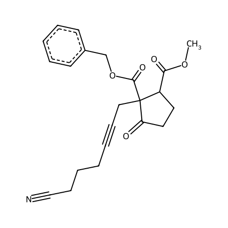 COC(=O)C1CCC(=O)C1(CC#CCCCC#N)C(=O)OCc1ccccc1